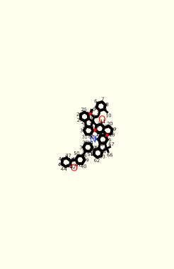 C=CC1=C(c2ccccc2C)Oc2c(ccc3ccccc23)C12c1ccccc1-c1ccc(N(c3ccc(-c4ccc5oc6ccccc6c5c4)cc3)c3cccc4c3-c3ccccc3C4(C)C)cc12